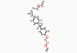 C=COCCOc1ccc(C(C)(C)c2ccc(C3C[C@@H]3CCOC=C)cc2)cc1